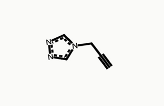 C#CCn1cnnc1